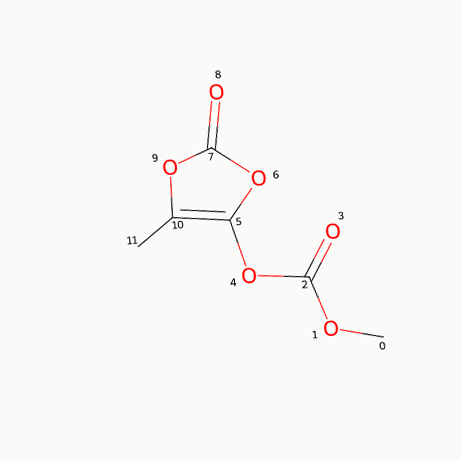 COC(=O)Oc1oc(=O)oc1C